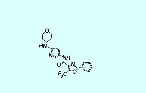 O=C(Nc1ccc(NC2CCOCC2)nc1)c1nc(-c2ccccc2)oc1C(F)(F)F